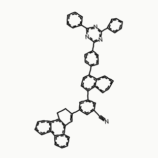 N#Cc1cc(C2=Cc3c(c4ccccc4c4ccccc34)CC2)cc(-c2ccc(-c3ccc(-c4nc(-c5ccccc5)nc(-c5ccccc5)n4)cc3)c3ccccc23)c1